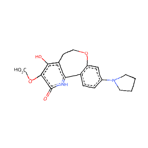 O=C(O)Oc1c(O)c2c([nH]c1=O)-c1ccc(N3CCCC3)cc1OCC2